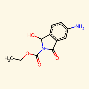 CCOC(=O)N1C(=O)c2cc(N)ccc2C1O